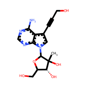 CC1(O)C(n2cc(C#CCO)c3c(N)ncnc32)OC(CO)[C@H]1O